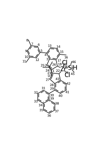 CC1=Cc2c(-c3cc(C)cc(C)c3)ccc(C)c2[CH]1[Zr]([Cl])([Cl])([CH]1C(C(C)C)=Cc2c(-c3cccc4ccccc34)cccc21)[SiH](C)C